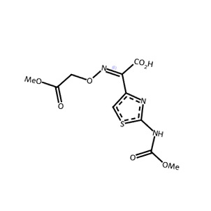 COC(=O)CO/N=C(/C(=O)O)c1csc(NC(=O)OC)n1